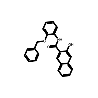 O=C(Nc1ccccc1OCc1ccccc1)c1cc2ccccc2cc1O